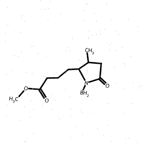 BN1C(=O)CC(C)C1CCCC(=O)OC